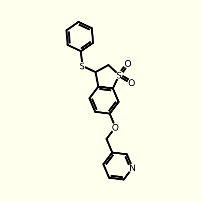 O=S1(=O)CC(Sc2ccccc2)c2ccc(OCc3cccnc3)cc21